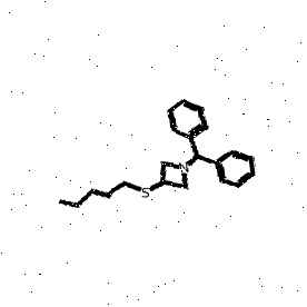 CCCCCSC1CN(C(c2ccccc2)c2ccccc2)C1